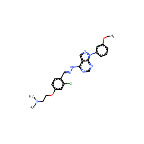 COc1cccc(-n2ncc3c(N/N=C/c4ccc(OCCN(C)C)cc4Cl)ncnc32)c1